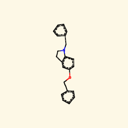 c1ccc(COc2ccc3c(c2)CCN3Cc2ccccc2)cc1